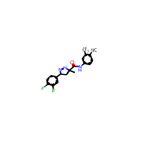 [C-]#[N+]c1ccc(NC(=O)C2(C)CC(c3ccc(F)c(F)c3)N=N2)cc1C(F)(F)F